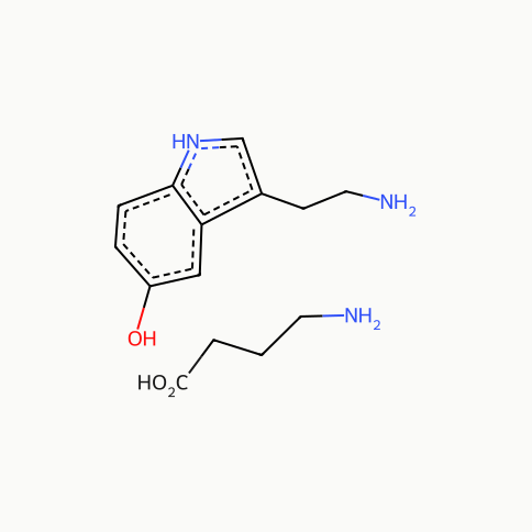 NCCCC(=O)O.NCCc1c[nH]c2ccc(O)cc12